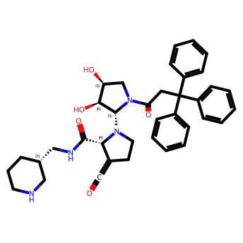 O=C=C1CCN([C@@H]2[C@@H](O)[C@@H](O)CN2C(=O)CC(c2ccccc2)(c2ccccc2)c2ccccc2)[C@H]1C(=O)NC[C@H]1CCCNC1